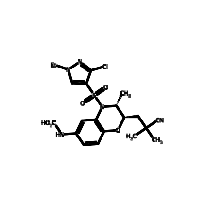 CCn1cc(S(=O)(=O)N2c3cc(NC(=O)O)ccc3O[C@H](CC(C)(C)C#N)[C@H]2C)c(Cl)n1